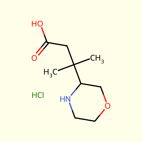 CC(C)(CC(=O)O)C1COCCN1.Cl